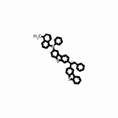 CC1CC=Cc2c1cccc2N(c1ccccc1)c1ccc2sc3cc(/C(=C/c4ccccc4)c4ccc5sc6ccccc6c5c4)ccc3c2c1